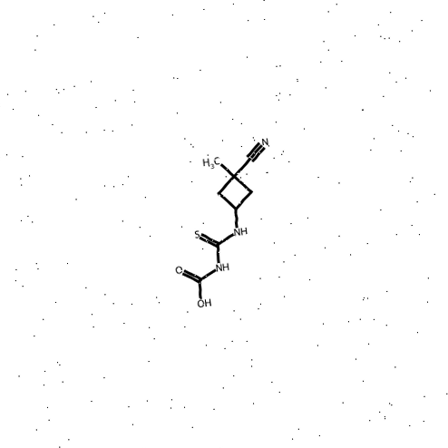 CC1(C#N)CC(NC(=S)NC(=O)O)C1